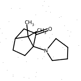 CC1(C)C2CCC1(N1CCCC1)C(=O)C2